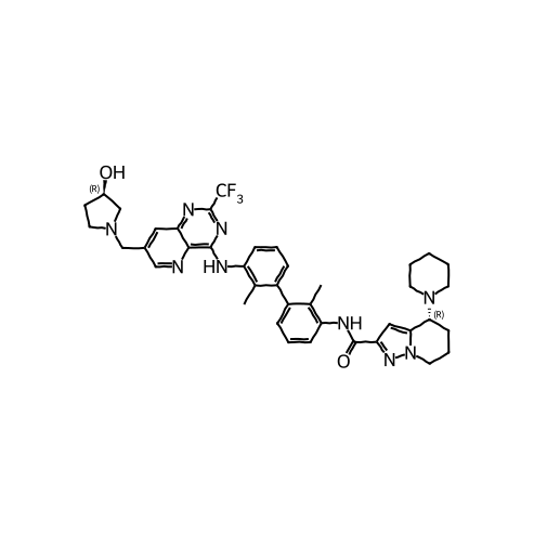 Cc1c(NC(=O)c2cc3n(n2)CCC[C@H]3N2CCCCC2)cccc1-c1cccc(Nc2nc(C(F)(F)F)nc3cc(CN4CC[C@@H](O)C4)cnc23)c1C